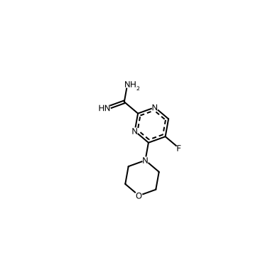 N=C(N)c1ncc(F)c(N2CCOCC2)n1